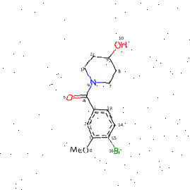 COc1cc(C(=O)N2CCC(O)CC2)ccc1Br